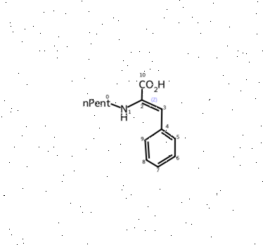 CCCCCN/C(=C\c1ccccc1)C(=O)O